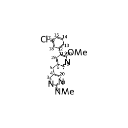 CNc1ncc(Cc2cnc(OC)c(-c3cccc(Cl)c3)c2)cn1